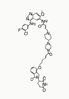 COc1cc2ncnc(Nc3ccc(F)c(Cl)c3)c2cc1NC(=O)/C=C/CN1CCC(N2CCN(C(=O)CCCCCOc3cccc4c3CN(C3CCC(=O)NC3=O)C4=O)CC2)CC1